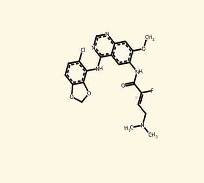 COc1cc2ncnc(Nc3c(Cl)ccc4c3OCO4)c2cc1NC(=O)/C(F)=C/CN(C)C